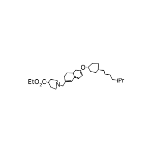 CCOC(=O)C1CCN(CC2=CC3=CC=C(O[C@H]4CC[C@H](CCCCC(C)C)CC4)CC3CC2)CC1